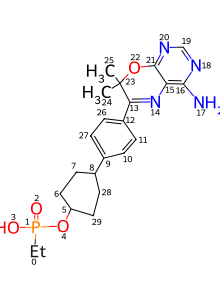 CCP(=O)(O)OC1CCC(c2ccc(C3=Nc4c(N)ncnc4OC3(C)C)cc2)CC1